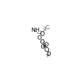 CCC(C)(CC)C(C)(C)c1ccc(Oc2ccc(S(=O)(=O)c3ccc(OC(C)(C)C)cc3)cc2)c(CCCN)c1